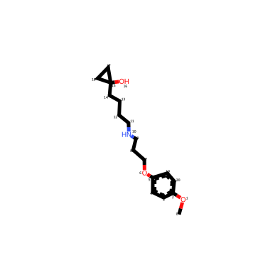 COc1ccc(OCCCNCCCCC2(O)CC2)cc1